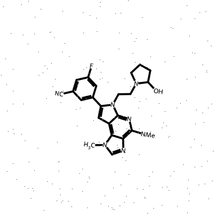 CNc1nc2c(cc(-c3cc(F)cc(C#N)c3)n2CCN2CCCC2O)c2c1ncn2C